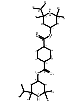 CC(C)C1(C)CC(OC(=O)C2CCC(C(=O)OC3CC(C)(C)NC(C)(C(C)C)C3)CC2)CC(C)(C)N1